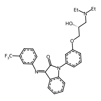 CCN(CC)C[C@@H](O)COc1cccc(N2C(=O)C(=Nc3cccc(C(F)(F)F)c3)c3ccccc32)c1